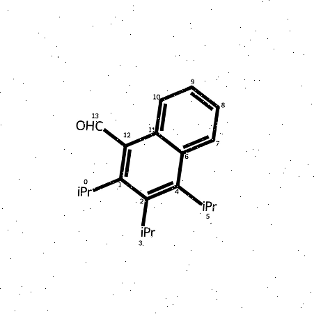 CC(C)c1c(C(C)C)c(C(C)C)c2ccccc2c1C=O